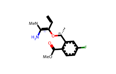 C=C/C(O[C@H](C)c1cc(F)ccc1C(=O)OC)=C(/N)NC